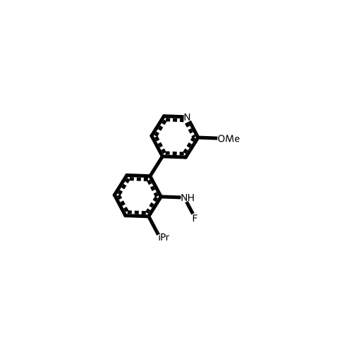 COc1cc(-c2cccc(C(C)C)c2NF)ccn1